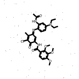 CCN(CC)c1ccc(/N=C2\C=C(NC(=O)c3ccc(OC)c(OC)c3OC)C(=O)C(Cl)=C2C)c(NC(C)=O)c1